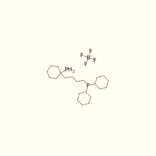 F[B-](F)(F)F.PC1(CCCCP(C2CCCCC2)C2CCCCC2)CCCCC1